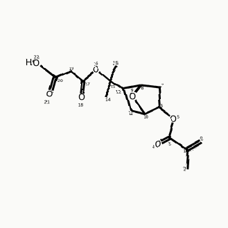 C=C(C)C(=O)OC1CC2OC1CC2C(C)(C)OC(=O)CC(=O)O